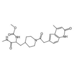 CNC(=O)C(CC1CCN(C(=O)Cc2ccc3[nH]c(=O)cc(C)c3c2)CC1)NC(=O)OC